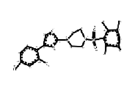 Cc1cc(C)c(C)c(S(=O)(=O)N2CCN(c3nc(-c4ccc(Cl)cc4Cl)cs3)CC2)c1C